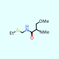 CCSCNC(=O)C(COC)NC